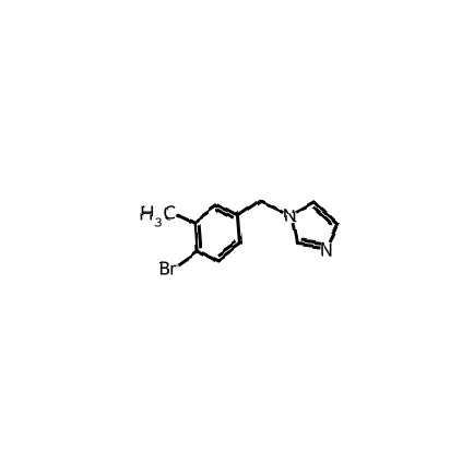 Cc1cc(Cn2ccnc2)ccc1Br